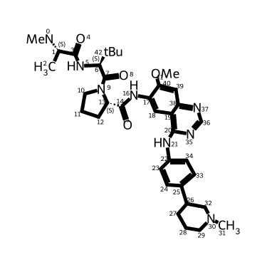 CN[C@@H](C)C(=O)N[C@H](C(=O)N1CCC[C@H]1C(=O)Nc1cc2c(Nc3ccc(C4CCCN(C)C4)cc3)ncnc2cc1OC)C(C)(C)C